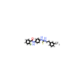 O=C(Nc1ccc(NC(=S)NCCc2cccc(C(F)(F)F)c2)cc1)c1ccccc1F